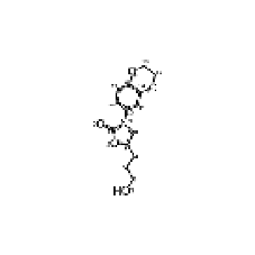 O=c1oc(CCCO)cn1-c1ccc2c(c1)OCCO2